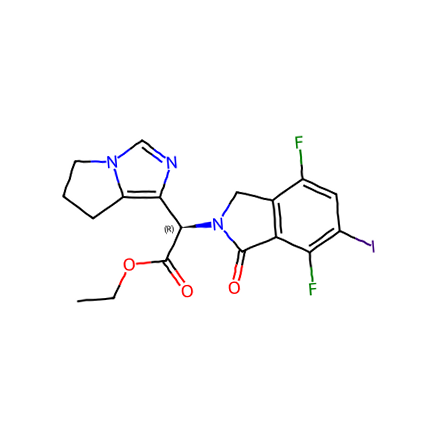 CCOC(=O)[C@@H](c1ncn2c1CCC2)N1Cc2c(F)cc(I)c(F)c2C1=O